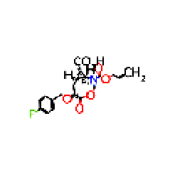 C=CCOC(=O)N1COC(=O)[C@H](OCc2ccc(F)cc2)C[C@H]2[C@H](C(=O)O)[C@H]21